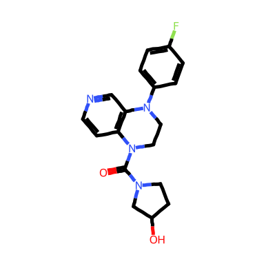 O=C(N1CCC(O)C1)N1CCN(c2ccc(F)cc2)c2cnccc21